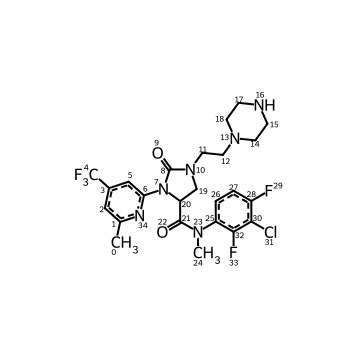 Cc1cc(C(F)(F)F)cc(N2C(=O)N(CCN3CCNCC3)CC2C(=O)N(C)c2ccc(F)c(Cl)c2F)n1